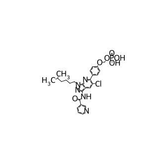 CC(C)CCCCn1nc(NC(=O)c2cccnc2)c2cc(Cl)c(-c3ccc(OCOP(=O)(O)O)cc3)nc21